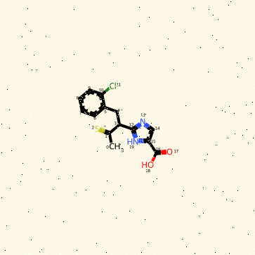 CC(=S)C(Cc1ccccc1Cl)c1ncc(C(=O)O)[nH]1